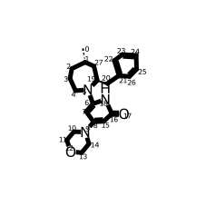 C[C@H]1CCCN(c2cc(N3CCOCC3)cc(=O)[nH]2)[C@H](Cc2ccccc2)C1